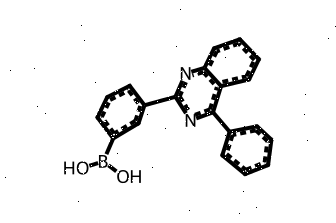 OB(O)c1cccc(-c2nc(-c3ccccc3)c3ccccc3n2)c1